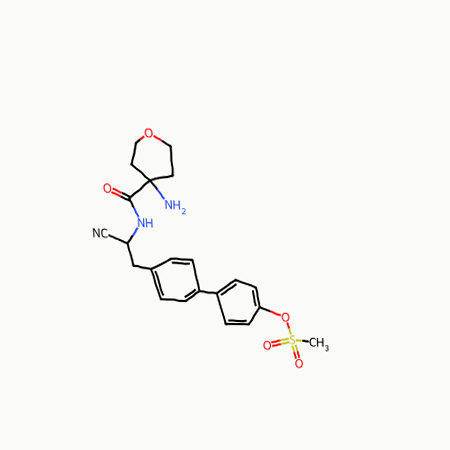 CS(=O)(=O)Oc1ccc(-c2ccc(CC(C#N)NC(=O)C3(N)CCOCC3)cc2)cc1